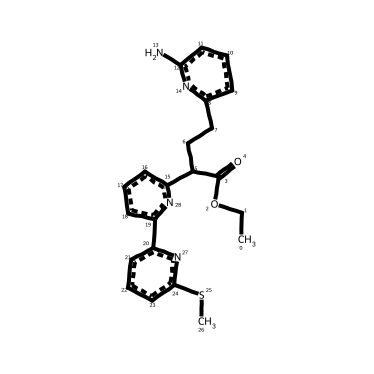 CCOC(=O)C(CCc1cccc(N)n1)c1cccc(-c2cccc(SC)n2)n1